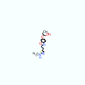 CCC(CO)Oc1ccc2nc(/C=C/c3cnc(NC)s3)oc2c1